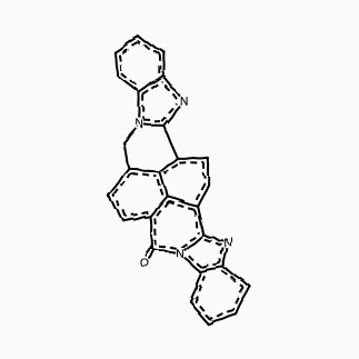 O=c1c2ccc3c4c(ccc(c42)c2nc4ccccc4n12)-c1nc2ccccc2n1C3